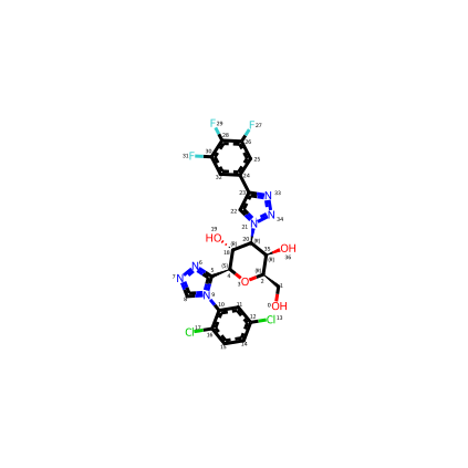 OC[C@H]1O[C@@H](c2nncn2-c2cc(Cl)ccc2Cl)[C@H](O)[C@@H](n2cc(-c3cc(F)c(F)c(F)c3)nn2)[C@H]1O